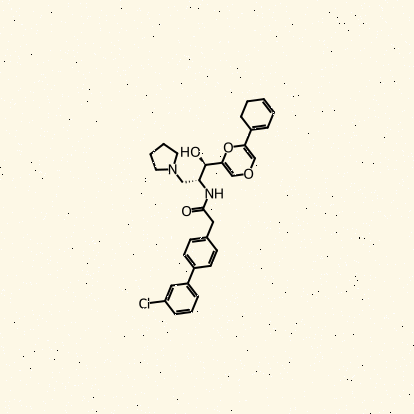 O=C(Cc1ccc(-c2cccc(Cl)c2)cc1)N[C@H](CN1CCCC1)[C@@H](O)C1=COC=C(C2=CC=CCC2)O1